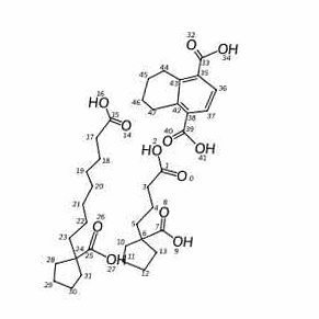 O=C(O)CCCC1(C(=O)O)CCCC1.O=C(O)CCCCCCCC1(C(=O)O)CCCC1.O=C(O)c1ccc(C(=O)O)c2c1CCCC2